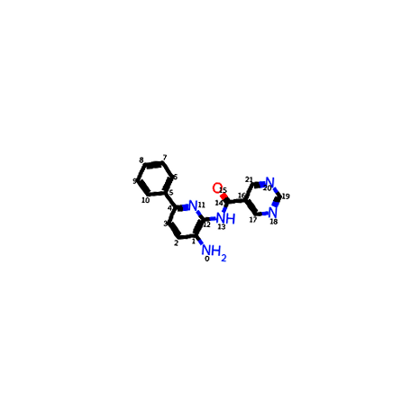 Nc1ccc(-c2ccccc2)nc1NC(=O)c1cncnc1